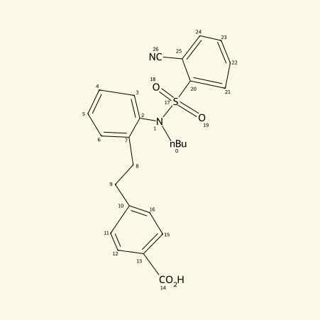 CCCCN(c1ccccc1CCc1ccc(C(=O)O)cc1)S(=O)(=O)c1ccccc1C#N